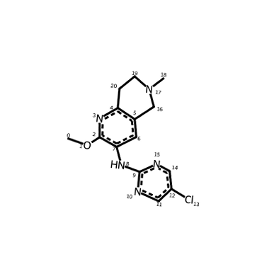 COc1nc2c(cc1Nc1ncc(Cl)cn1)CN(C)CC2